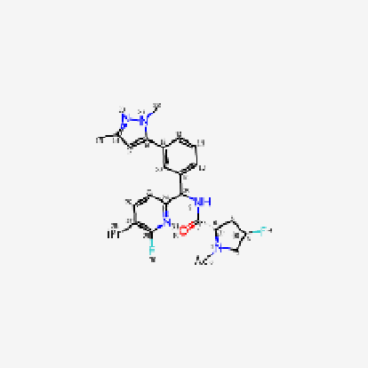 CC(=O)N1C[C@H](F)C[C@H]1C(=O)NC(c1cccc(-c2cc(C)nn2C)c1)c1ccc(C(C)C)c(F)n1